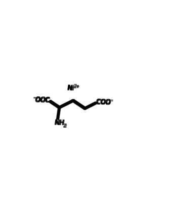 NC(CCC(=O)[O-])C(=O)[O-].[Ni+2]